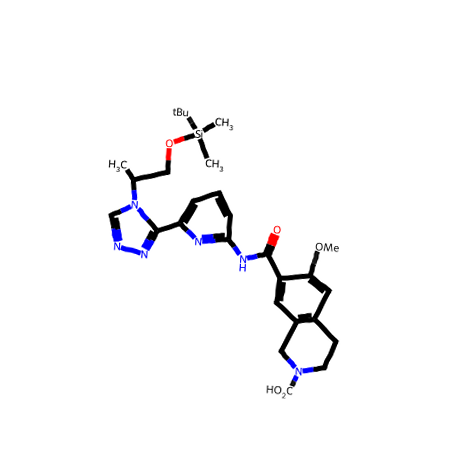 COc1cc2c(cc1C(=O)Nc1cccc(-c3nncn3C(C)CO[Si](C)(C)C(C)(C)C)n1)CN(C(=O)O)CC2